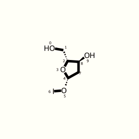 OC[C@H]1O[C@@H](OI)C[C@@H]1O